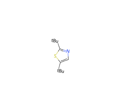 CC(C)(C)c1cnc(C(C)(C)C)s1